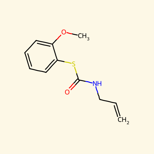 C=CCNC(=O)Sc1ccccc1OC